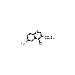 CCOC(=O)c1cnc2ccc(C(C)(C)C)cc2c1Cl